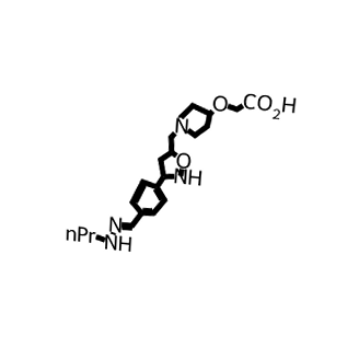 CCCNN=Cc1ccc(C2CC(CN3CCC(OCC(=O)O)CC3)ON2)cc1